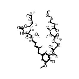 COc1cc(C/C(C)=C/C=C/[C@@H](OC)[C@@]2(O)C[C@@H]([C@@H](C)[C@H]3O[C@@H]3C)OC(=O)N2)cc(N(C)C(=O)C[C@@H](C)OC(=O)[C@H](C)N(C)C(=O)CCSSC)c1Cl